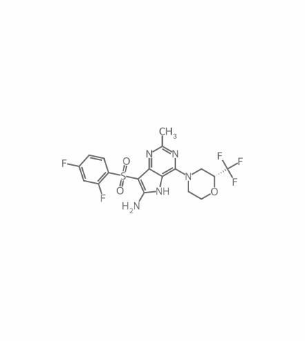 Cc1nc(N2CCO[C@@H](C(F)(F)F)C2)c2[nH]c(N)c(S(=O)(=O)c3ccc(F)cc3F)c2n1